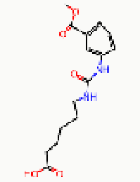 COC(=O)c1cccc(NC(=O)NCCCCCC(=O)O)c1